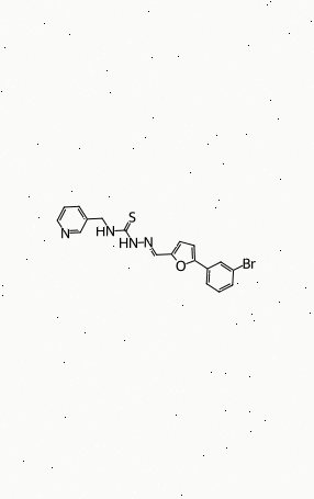 S=C(NCc1cccnc1)NN=Cc1ccc(-c2cccc(Br)c2)o1